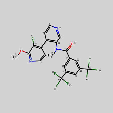 COc1nccc(-c2ccncc2N(C)C(=O)c2cc(C(F)(F)F)cc(C(F)(F)F)c2)c1Cl